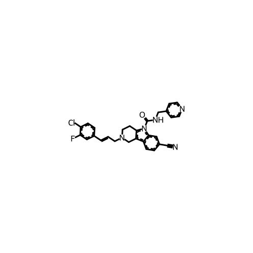 N#Cc1ccc2c3c(n(C(=O)NCc4ccncc4)c2c1)CCN(CC=Cc1ccc(Cl)c(F)c1)C3